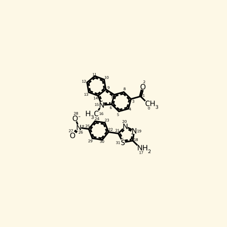 CC(=O)c1ccc2c(c1)c1ccccc1n2C.Nc1nnc(-c2ccc([N+](=O)[O-])cc2)s1